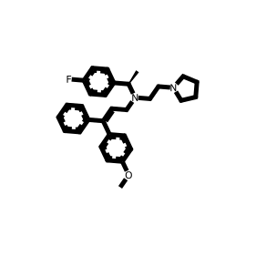 COc1ccc(/C(=C\CN(CCN2CCCC2)[C@H](C)c2ccc(F)cc2)c2ccccc2)cc1